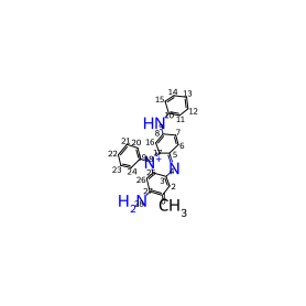 Cc1cc2nc3ccc(Nc4ccccc4)cc3[n+](-c3ccccc3)c2cc1N